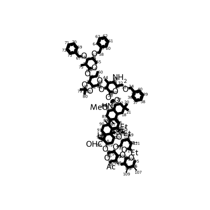 CCC1O[C@@H](OC2[C@H](O[C@H]3CCC4(C)C5CC=C6C7CC(C)(C)CC[C@]7(NC(=O)O[C@@H]7OC(COCc8ccccc8)[C@H](N)C(C)C7O[C@@H]7OC(C)[C@H](O[C@@H]8OC[C@@H](OCc9ccccc9)C(OCc9ccccc9)C8C)C8OC(C)(C)OC87)C(OC)C[C@@]6(C)[C@@]5(C)CC[C@H]4[C@@]3(C)C=O)OC(C(C)=O)[C@@H](C)[C@@H]2O[C@@H]2OC[C@@H](C)[C@@H](C)C2C)C(O[Si](CC)(CC)CC)[C@@H](C)[C@@H]1C